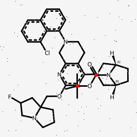 CC(C)(C)OC(=O)N1[C@@H]2CC[C@H]1CN(c1nc(OCC34CCCN3CC(F)C4)nc3c1CCN(c1cccc4cccc(Cl)c14)C3)C2